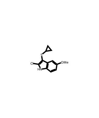 COc1ccc2[nH]c(Cl)c(SC3CC3)c2c1